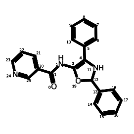 O=C(NC1=C(c2ccccc2)NC(c2ccccc2)O1)c1cccnc1